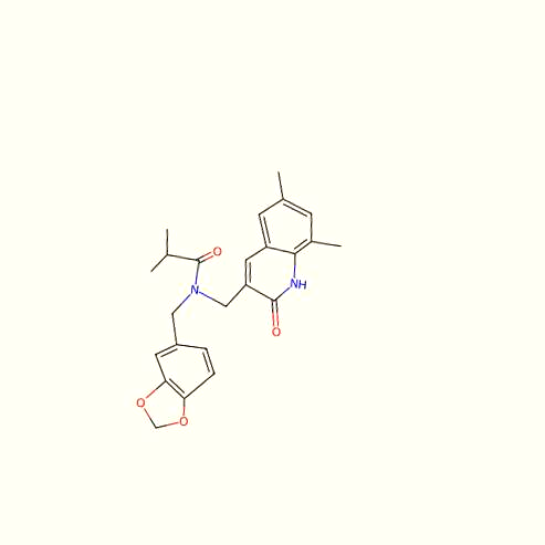 Cc1cc(C)c2[nH]c(=O)c(CN(Cc3ccc4c(c3)OCO4)C(=O)C(C)C)cc2c1